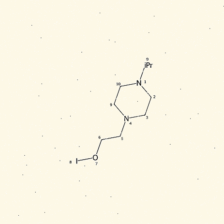 CC(C)N1CCN(CCOI)CC1